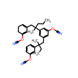 CCCC(C)(CC1=CCCC(OC#N)=C1)c1cc(CC(C)(CC)c2cccc(OC#N)c2)cc(OC#N)c1